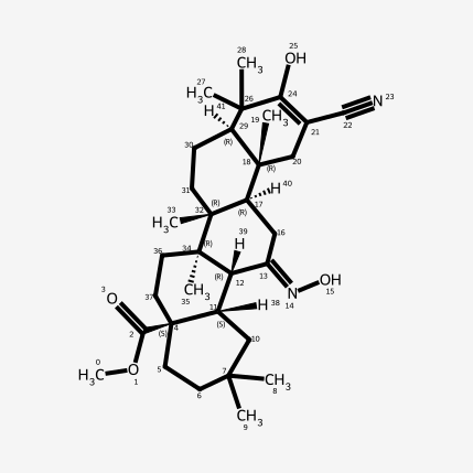 COC(=O)[C@]12CCC(C)(C)C[C@H]1[C@H]1C(=NO)C[C@@H]3[C@@]4(C)CC(C#N)=C(O)C(C)(C)[C@@H]4CC[C@@]3(C)[C@]1(C)CC2